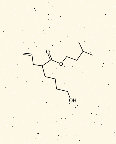 C=CCC(CCCCO)C(=O)OCCC(C)C